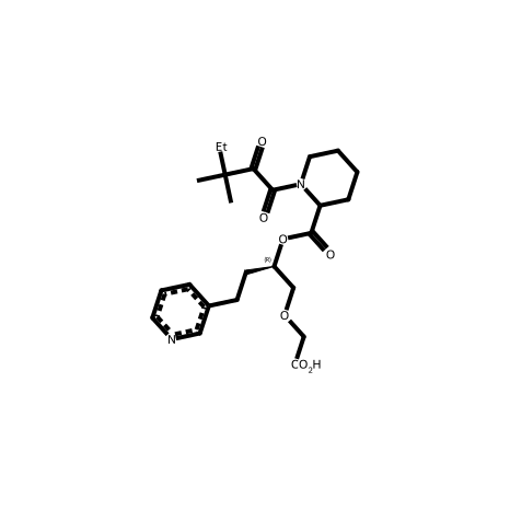 CCC(C)(C)C(=O)C(=O)N1CCCCC1C(=O)O[C@H](CCc1cccnc1)COCC(=O)O